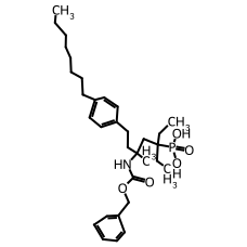 CCCCCCCCc1ccc(CCC(C)(CC(CC)(CC)P(=O)(O)O)NC(=O)OCc2ccccc2)cc1